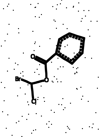 O=C(OC(Cl)Br)c1ccccc1